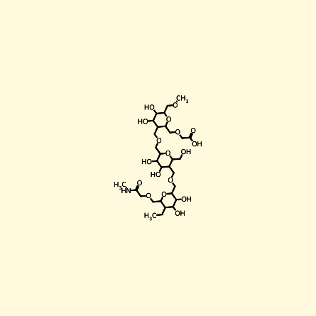 CCC1C(COCC(=O)NC)OC(COCC2C(CO)OC(COCC3C(COCC(=O)O)OC(COC)C(O)C3O)C(O)C2O)C(O)C1O